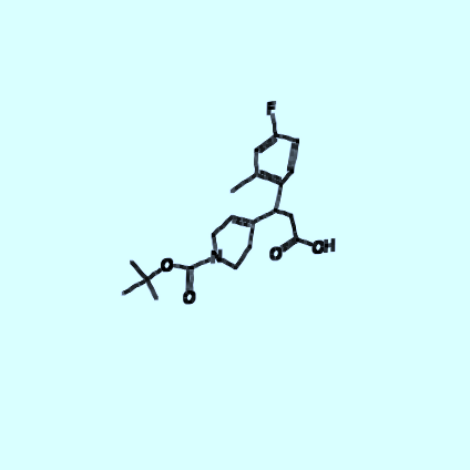 Cc1cc(F)ccc1C(CC(=O)O)C1=CCN(C(=O)OC(C)(C)C)CC1